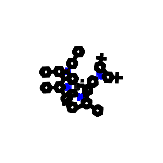 C[C@H]1B2c3ccc(N(c4ccc(-c5ccccc5)cc4)c4ccc(-c5ccccc5)cc4)cc3N(c3c(-c4ccccc4)cc(-c4ccccc4)cc3-c3ccccc3)c3cc4cc(c32)N(CC=C1c1ccc(-n2c3ccc(C(C)(C)C)cc3c3cc(C(C)(C)C)ccc32)cc1)c1c(-c2ccccc2)cc(-c2ccccc2)cc1-c1ccc(cc1)C4(C)C